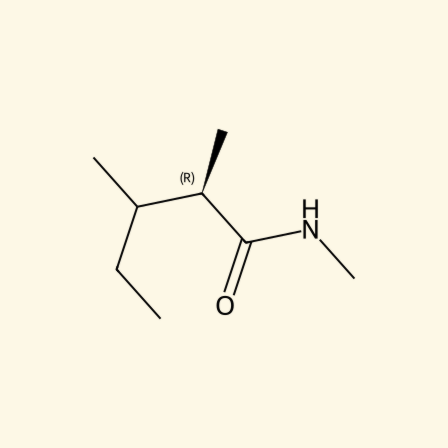 CCC(C)[C@@H](C)C(=O)NC